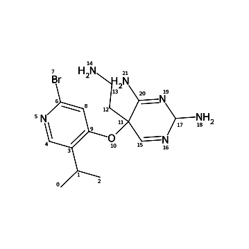 CC(C)c1cnc(Br)cc1OC1(CCN)C=NC(N)N=C1N